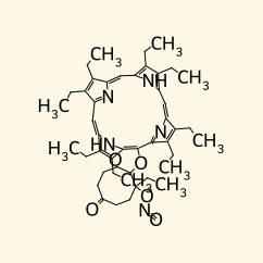 CCC1=C(CC)c2cc3[nH]c(c(CC)c3CC)c(OC3C(=O)CCC(=O)CCC3(CC)ON=O)c3nc(cc4[nH]c(cc1n2)c(CC)c4CC)C(CC)=C3CC